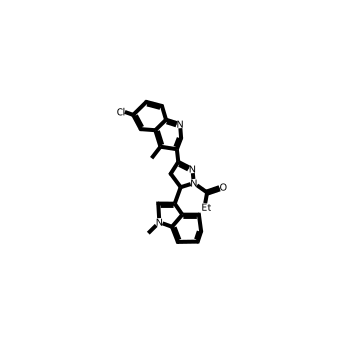 CCC(=O)N1N=C(c2cnc3ccc(Cl)cc3c2C)CC1c1cn(C)c2ccccc12